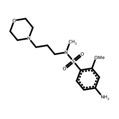 COc1cc(N)ccc1S(=O)(=O)N(C)CCCN1CCOCC1